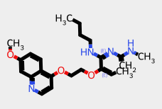 C=C(/N=C(NCCCC)\C(=C/C)OCCOc1ccnc2cc(OC)ccc12)NC